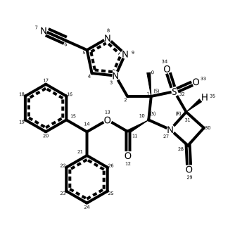 C[C@]1(Cn2cc(C#N)nn2)[C@H](C(=O)OC(c2ccccc2)c2ccccc2)N2C(=O)C[C@H]2S1(=O)=O